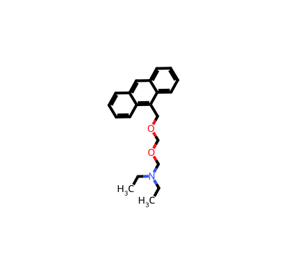 CCN(CC)COCOCc1c2ccccc2cc2ccccc12